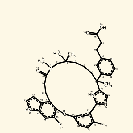 CN1CC(C)(C)CCC[C@](C)(c2cccc(CCC(=O)O)c2)c2cnc([nH]2)-c2cc(ccc2F)Oc2c(F)cc3[nH]ccc3c2CCC1=O